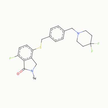 [2H]N1Cc2c(SCc3ccc(CN4CCC(F)(F)CC4)cc3)ccc(F)c2C1=O